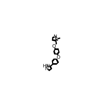 Cn1nccc1COc1ccc(Oc2ccc(-c3ccn[nH]3)cc2)cc1